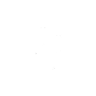 Fc1cccc2c1C(CBr)OCO2